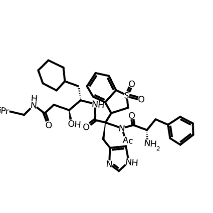 CC(=O)N(C(=O)[C@@H](N)Cc1ccccc1)[C@](Cc1c[nH]cn1)(C(=O)N[C@@H](CC1CCCCC1)[C@@H](O)CC(=O)NCC(C)C)C1CS(=O)(=O)c2ccccc21